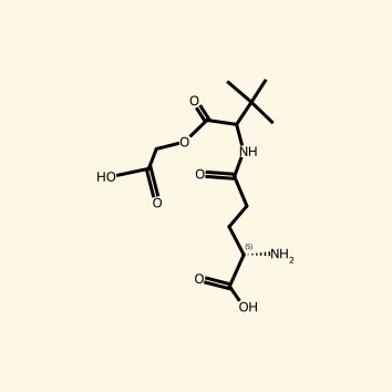 CC(C)(C)C(NC(=O)CC[C@H](N)C(=O)O)C(=O)OCC(=O)O